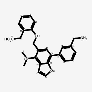 CN(C)c1c(COc2ccccc2CC(=O)O)cc(-c2cccc(CN)c2)c2occc12